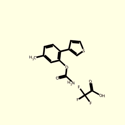 Cc1ccc(-c2ccsc2)c(OC(N)=O)c1.O=C(O)C(F)(F)F